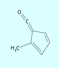 CC1=CC=CC1=C=O